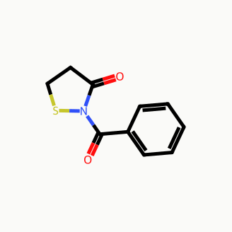 O=C1CCSN1C(=O)c1ccccc1